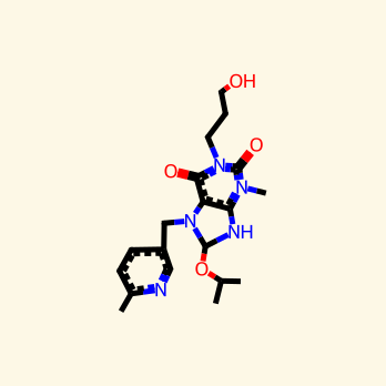 Cc1ccc(CN2c3c(n(C)c(=O)n(CCCO)c3=O)NC2OC(C)C)cn1